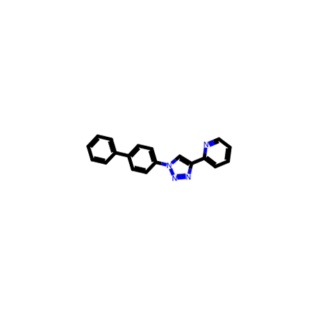 c1ccc(-c2ccc(-n3cc(-c4ccccn4)nn3)cc2)cc1